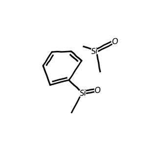 C[Si](=O)c1ccccc1.C[Si](C)=O